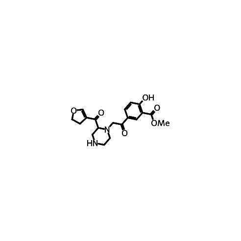 COC(=O)c1cc(C(=O)CN2CCNCC2C(=O)C2=COCC2)ccc1O